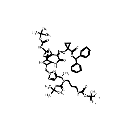 C[C@@H](c1cnn(C[C@H]2NC(=O)[C@H]2NC(=O)/C(=N\OC2(C(=O)OC(c3ccccc3)c3ccccc3)CC2)c2csc(NC(=O)OC(C)(C)C)n2)n1)N(CCCNC(=O)OC(C)(C)C)C(=O)OC(C)(C)C